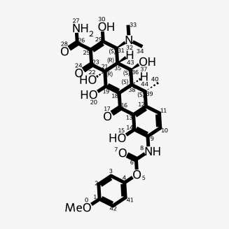 COc1ccc(OC(=O)Nc2ccc3c(c2O)C(=O)C2=C(O)[C@@]4(O)C(=O)C(C(N)=O)=C(O)[C@@H](N(C)C)[C@@H]4[C@@H](O)[C@H]2[C@@H]3C)cc1